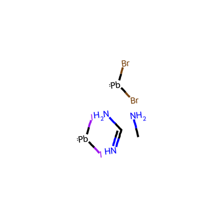 CN.N=CN.[Br][Pb][Br].[I][Pb][I]